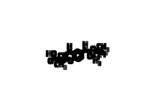 CC(C)(CC1CNc2cc(NC(=O)OC(C)(C)C(F)(F)F)ccc2O1)C(=O)O